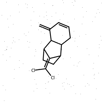 C=C1C=CCC2C3CCC(C3=C(Cl)Cl)C12